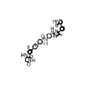 O=C1CC[C@@H](Nc2ccc(C3CCN([C@H]4CC[C@H](C(=O)N[C@H]5CC[C@H](Nc6ncc(F)c(-c7cccc(-c8ccc[nH]c8=O)c7)n6)CC5)CC4)CC3)c(F)c2)C(=O)N1